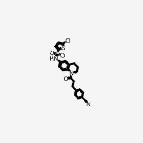 N#Cc1ccc(CCC(=O)N2CCCc3cc(NS(=O)(=O)c4ccc(Cl)s4)ccc32)cc1